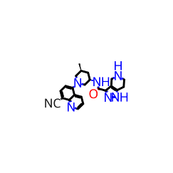 C[C@H]1C[C@@H](NC(=O)c2n[nH]c3c2CNCC3)CN(c2ccc(C#N)c3ncccc23)C1